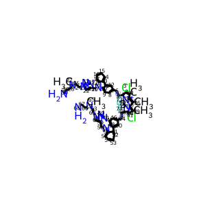 CC1=C(Cl)C(/C=C/c2ccc3c(c2)c2ccccc2n3Cc2cn(CCN(C)CCN)nn2)=[N+]2C1=C(C)c1c(C)c(Cl)c(/C=C/c3ccc4c(c3)c3ccccc3n4Cc3cn(CCN(C)CCN)nn3)n1[B-]2(F)F